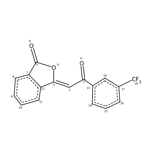 O=C(C=C1OC(=O)c2ccccc21)c1cccc(C(F)(F)F)c1